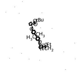 C=C(OCC)c1nccc(COc2ccc(C(C)(C)c3ccc(OC[C@H]4CCCN4C(=O)OC(C)(C)C)cc3)cc2)n1